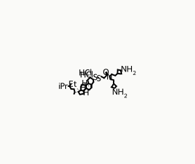 CCC(CCC(C)[C@H]1CC[C@H]2[C@@H]3CC=C4C[C@@H](SSCCC(=O)N(CCC5CC(N)C5)CCC5CC(N)C5)CC[C@]4(C)[C@H]3CC[C@]12C)C(C)C.Cl.Cl